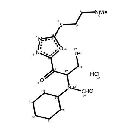 CNCCSc1nnc(C(=O)C(CC(C)(C)C)N(C=O)C2CCCCC2)o1.Cl